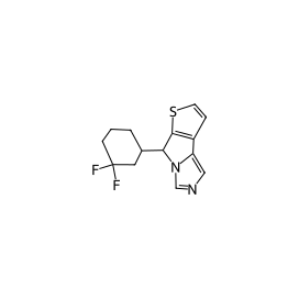 FC1(F)CCCC(C2c3sccc3-c3cncn32)C1